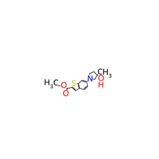 CCOC(=O)c1cc2ccc(N3CCC(C)(O)C3)cc2s1